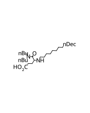 CCCCCCCCCCCCCCCCCCNC(CCC(=O)O)C(=O)N(CCCC)CCCC